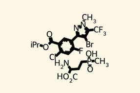 CC(C)OC(=O)c1cc(-c2nn(C)c(C(F)(F)F)c2Br)c(F)cc1Cl.CP(=O)(O)CCC(N)C(=O)O